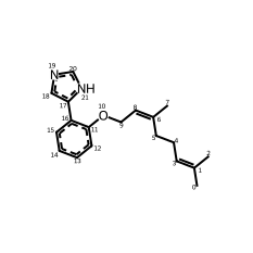 CC(C)=CCCC(C)=CCOc1ccccc1-c1cnc[nH]1